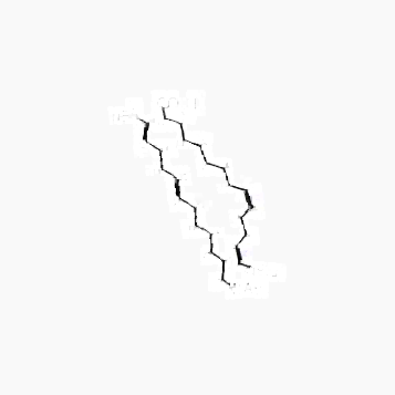 CCCC/C=C\CC/C=C\CCCCCCCC(=O)O.CCCCC=CCCC=CCCCCCCOC(C)=O